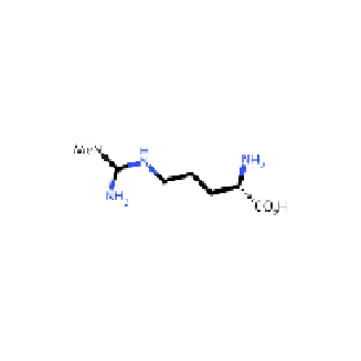 CNC(N)NCCC[C@H](N)C(=O)O